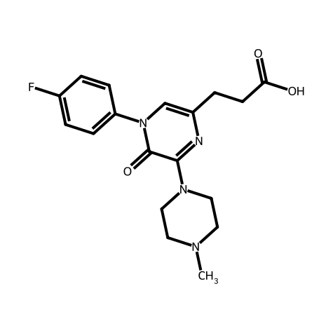 CN1CCN(c2nc(CCC(=O)O)cn(-c3ccc(F)cc3)c2=O)CC1